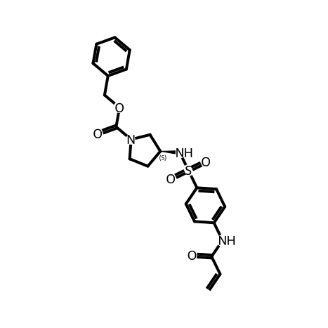 C=CC(=O)Nc1ccc(S(=O)(=O)N[C@H]2CCN(C(=O)OCc3ccccc3)C2)cc1